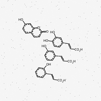 O=C(O)C=Cc1ccc(O)c(O)c1.O=C(O)C=Cc1cccc(O)c1.O=C(O)C=Cc1ccccc1O.O=c1ccc2ccc(O)cc2o1